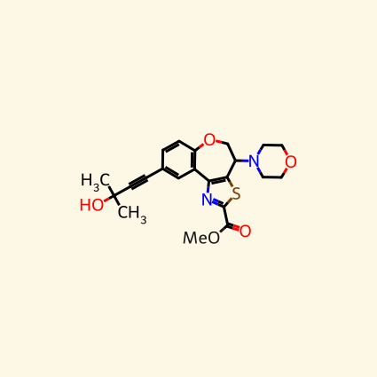 COC(=O)c1nc2c(s1)C(N1CCOCC1)COc1ccc(C#CC(C)(C)O)cc1-2